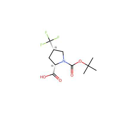 CC(C)(C)OC(=O)N1C[C@@H](C(F)(F)F)C[C@H]1C(=O)O